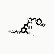 Nc1cc(OCCO)cc2cc(C3=NCC(CN4CC[S+]([O-])CC4)S3)[nH]c12